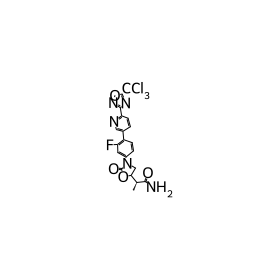 C[C@H](C(N)=O)C1CN(c2ccc(-c3ccc(-c4noc(C(Cl)(Cl)Cl)n4)nc3)c(F)c2)C(=O)O1